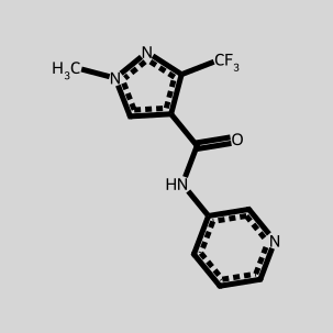 Cn1cc(C(=O)Nc2cccnc2)c(C(F)(F)F)n1